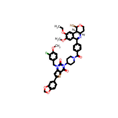 CCOc1cc2c(cc1OC)C(c1ccc(C(=O)N3CCC(n4c(=O)c5sc(-c6ccc7c(c6)OCO7)cc5n(Cc5ccc(OC)c(F)c5)c4=O)CC3)cc1)=N[C@@H]1CCOC(S)[C@H]21